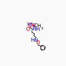 CC(=N)N[C@@H](CCCCNOCc1ccccc1)C(=O)O